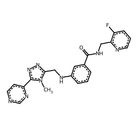 Cn1c(CNc2cccc(C(=O)NCc3ncccc3F)c2)nnc1-c1ccncn1